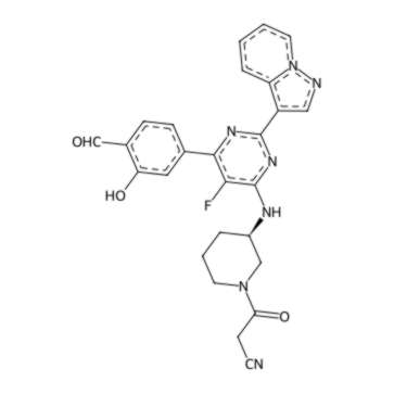 N#CCC(=O)N1CCC[C@@H](Nc2nc(-c3cnn4ccccc34)nc(-c3ccc(C=O)c(O)c3)c2F)C1